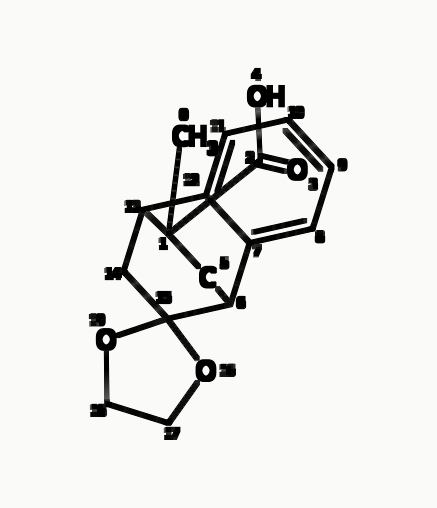 CC1(C(=O)O)CC2c3ccccc3C1CC21OCCO1